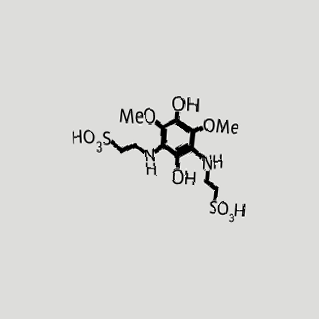 COc1c(O)c(OC)c(NCCS(=O)(=O)O)c(O)c1NCCS(=O)(=O)O